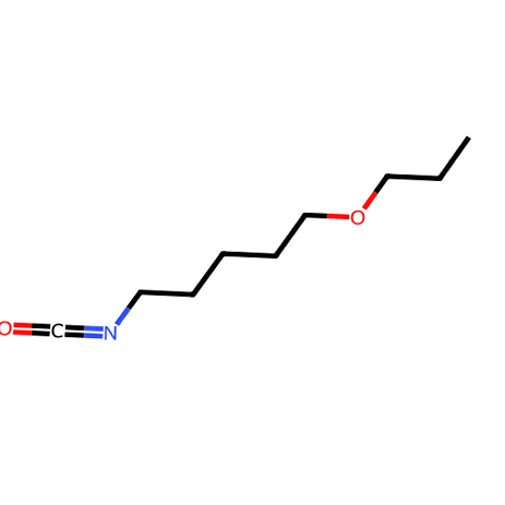 CCCOCCCCCN=C=O